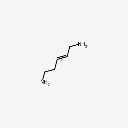 NC/C=C/CCN